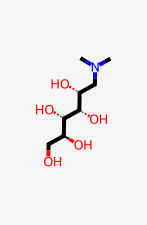 CN(C)C[C@@H](O)[C@H](O)[C@@H](O)[C@@H](O)CO